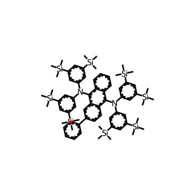 C[Si](C)(C)c1cc(N(c2cc([Si](C)(C)C)cc([Si](C)(C)C)c2)c2c3ccccc3c(N(c3cc([Si](C)(C)C)cc([Si](C)(C)C)c3)c3cc([Si](C)(C)C)cc([Si](C)(C)C)c3)c3cc(-c4ccccc4)ccc23)cc([Si](C)(C)C)c1